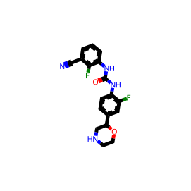 N#Cc1cccc(NC(=O)Nc2ccc(C3CNCCO3)cc2F)c1F